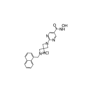 Cl.O=C(NO)c1cnc(N2CC3(CN(Cc4cccc5ccccc45)C3)C2)nc1